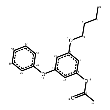 CCCCOc1cc(OC(C)=O)cc(Oc2ccccc2)c1